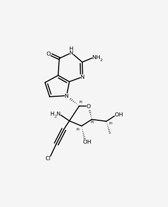 C[C@@H](O)[C@H]1O[C@@H](n2ccc3c(=O)[nH]c(N)nc32)C(N)(C#CCl)[C@H]1O